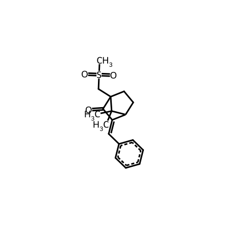 CC1(C)C2CCC1(CS(C)(=O)=O)C(=O)/C2=C/c1ccccc1